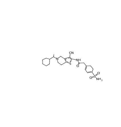 CC(C1CCCCC1)N1CCc2sc(NC(=O)CC3=CC=C(S(N)(=O)=O)CC3)c(C#N)c2C1